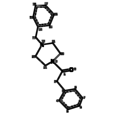 O=C(Cc1ccccc1)N1CCN(Cc2ccccc2)CC1